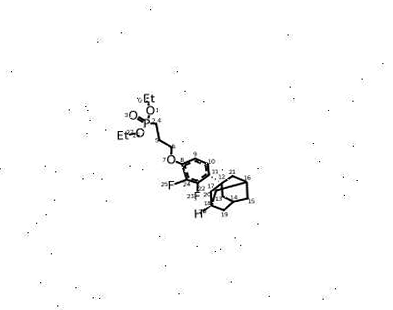 CCOP(=O)(CCCOc1ccc([C@]23CC4CC(C[C@H](C4)C2)C3)c(F)c1F)OCC